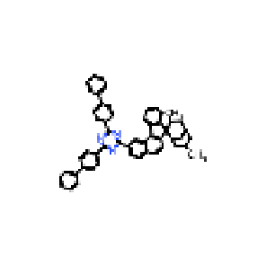 CC1CC2CC(C)C3(c4ccccc4-c4c3ccc3ccc(-c5nc(-c6ccc(-c7ccccc7)cc6)nc(-c6ccc(-c7ccccc7)cc6)n5)cc43)C(C1)C2